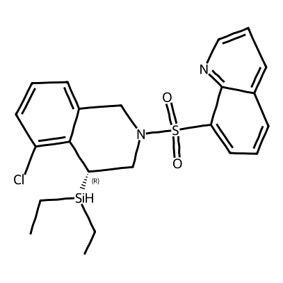 CC[SiH](CC)[C@H]1CN(S(=O)(=O)c2cccc3cccnc23)Cc2cccc(Cl)c21